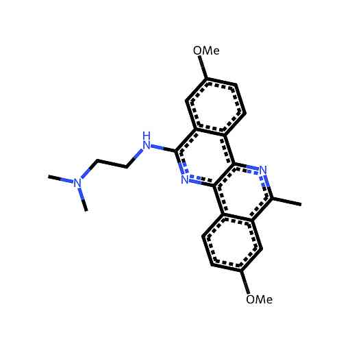 COc1ccc2c(c1)c(C)nc1c3ccc(OC)cc3c(NCCN(C)C)nc21